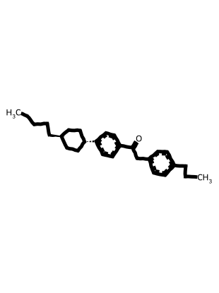 CCCCC[C@H]1CC[C@H](c2ccc(C(=O)Cc3ccc(CCC)cc3)cc2)CC1